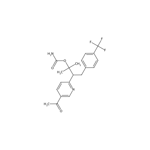 CC(=O)c1ccc(C(Cc2ccc(C(F)(F)F)cc2)C(C)(C)OC(N)=O)nc1